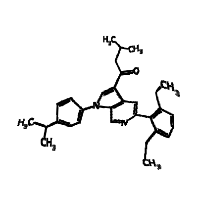 CCc1cccc(CC)c1-c1cc2c(C(=O)CC(C)C)cn(-c3ccc(C(C)C)cc3)c2cn1